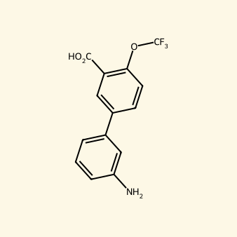 Nc1cccc(-c2ccc(OC(F)(F)F)c(C(=O)O)c2)c1